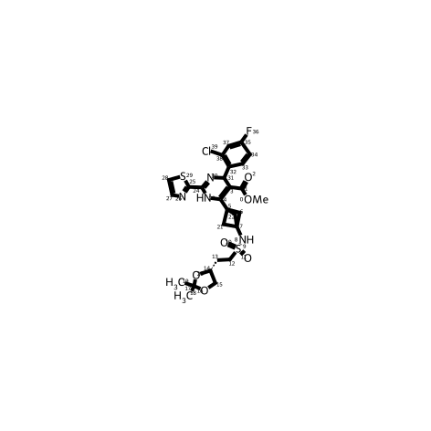 COC(=O)C1=C(C23CC(NS(=O)(=O)CC[C@@H]4COC(C)(C)O4)(C2)C3)NC(c2nccs2)=NC1c1ccc(F)cc1Cl